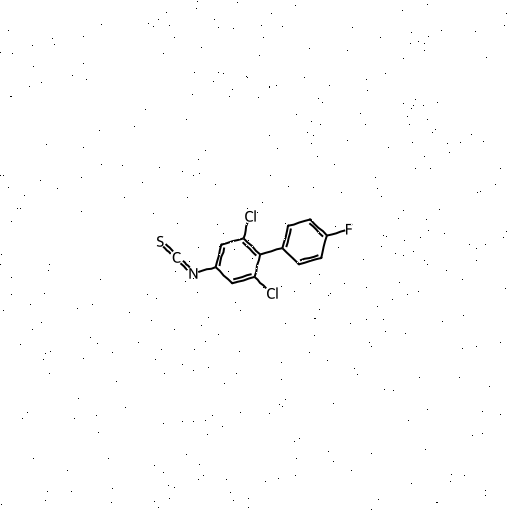 Fc1ccc(-c2c(Cl)cc(N=C=S)cc2Cl)cc1